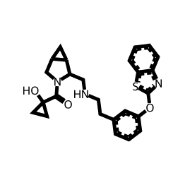 O=C(N1CC2CC2C1CNCCc1cccc(Oc2nc3ccccc3s2)c1)C1(O)CC1